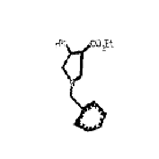 CCCC1CN(Cc2ccccc2)CC1C(=O)OCC